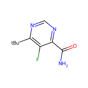 CC(C)(C)c1ncnc(C(N)=O)c1F